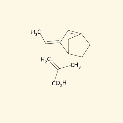 C/C=C1\C=C2CCC1C2.C=C(C)C(=O)O